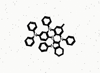 Cc1cc2c3c(c1)N(c1ccccc1)c1c4c(n(-c5ccccc5)c1B3c1ccc(N(c3ccccc3)c3ccccc3)cc1N2c1ccccc1)CCCC4